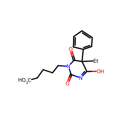 CCC1(c2ccccc2)C(=O)N(CCCCC(=O)O)C(=O)N=C1O